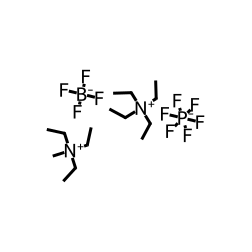 CC[N+](C)(CC)CC.CC[N+](CC)(CC)CC.F[B-](F)(F)F.F[P-](F)(F)(F)(F)F